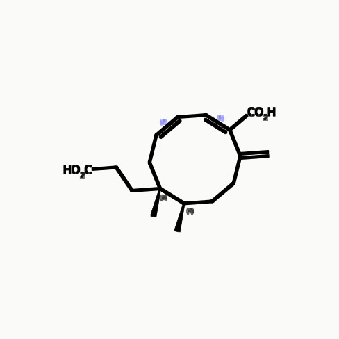 C=C1CC[C@@H](C)[C@](C)(CCC(=O)O)C/C=C\C=C/1C(=O)O